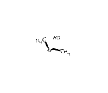 C[B]C.Cl